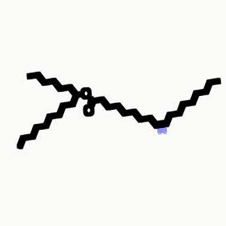 CCCCCCCC/C=C\CCCCCCCC(=O)OC(CCCCCC)CCCCCCCCC